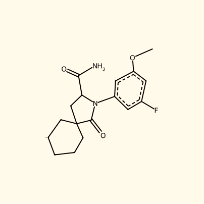 COc1cc(F)cc(N2C(=O)C3(C[CH]CCC3)CC2C(N)=O)c1